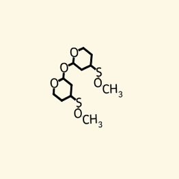 COSC1CCOC(OC2CC(SOC)CCO2)C1